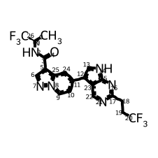 C[C@@H](NC(=O)c1cnn2ccc(-c3c[nH]c4nc(CCC(F)(F)F)ncc34)cc12)C(F)(F)F